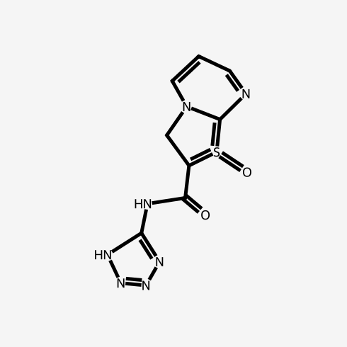 O=C(Nc1nnn[nH]1)C1=S(=O)=C2N=CC=CN2C1